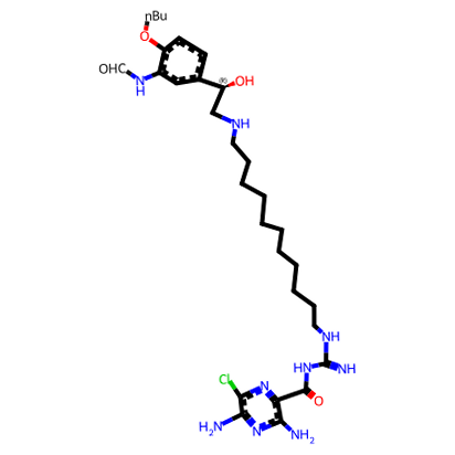 CCCCOc1ccc([C@@H](O)CNCCCCCCCCCCCNC(=N)NC(=O)c2nc(Cl)c(N)nc2N)cc1NC=O